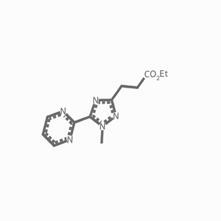 CCOC(=O)CCc1nc(-c2ncccn2)n(C)n1